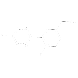 OCc1ccc(Cl)c(-c2ncc(F)cn2)c1